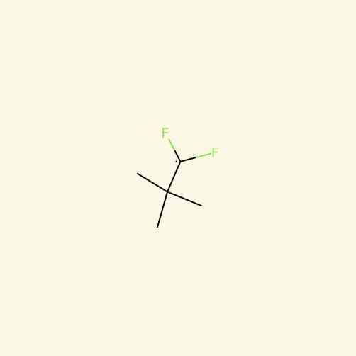 CC(C)(C)[C](F)F